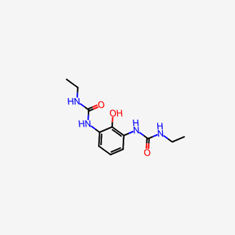 CCNC(=O)Nc1cccc(NC(=O)NCC)c1O